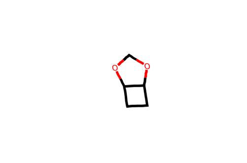 C1OC2CCC2O1